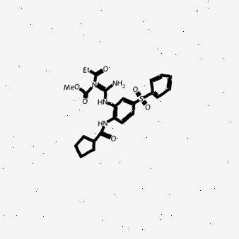 CCC(=O)[N+](C(=O)OC)=C(N)Nc1cc(S(=O)(=O)c2ccccc2)ccc1NC(=O)C1CCCC1